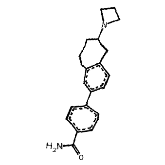 NC(=O)c1ccc(-c2ccc3c(c2)CCC(N2CCC2)C3)cc1